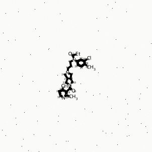 CCC(=O)N(CCCN1CC2CN(C(=O)c3c(C)ccnc3C)CC2C1)c1ccc(C)c(Cl)c1